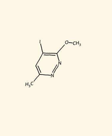 COc1nnc(C)cc1I